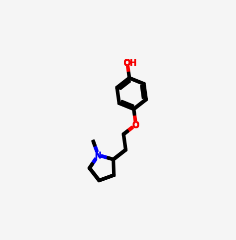 CN1CCCC1CCOc1ccc(O)cc1